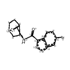 O=C(NC1CN2CCC1CC2)c1nsc2cc(Br)ccc12